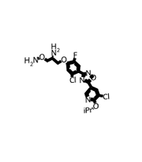 CC(C)Oc1ncc(-c2nc(-c3cc(F)c(OC[C@H](N)CON)cc3Cl)no2)cc1Cl